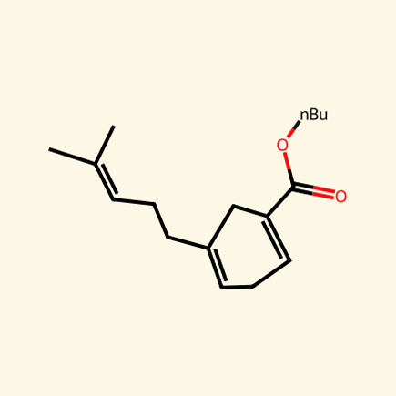 CCCCOC(=O)C1=CCC=C(CCC=C(C)C)C1